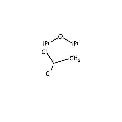 CC(C)OC(C)C.CC(Cl)Cl